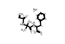 C=CC(=O)NC(C)(C)C(=O)NC(Cc1ccccc1)C(=O)[O-].[Na+]